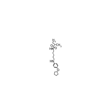 CC(C)S(=O)(=O)NCCCCCNc1ccc(OC2CCCC2)cc1